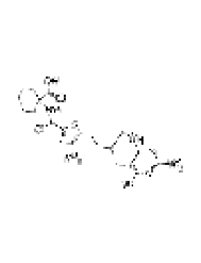 N.Nc1nc(O)c2c(n1)NCC(CCc1ccc(C(=O)NC3(C(=O)O)CCCCC3)s1)C2